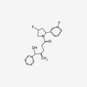 C=C(CCC(=O)N1CC(F)CC1c1cccc(F)c1)C(O)c1ccccc1